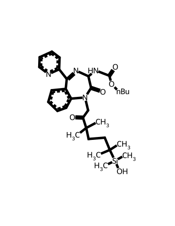 CCCCOC(=O)NC1N=C(c2ccccn2)c2ccccc2N(CC(=O)C(C)(C)CCC(C)(C)[Si](C)(C)O)C1=O